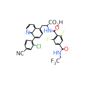 N#Cc1ccc(-c2ccc(CC(NC(=O)c3c(F)cc(C(=O)NCC(F)(F)F)cc3F)C(=O)O)c3cccnc23)c(Cl)c1